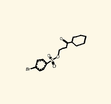 O=C(CCOS(=O)(=O)c1ccc(Br)cc1)C1CCCCC1